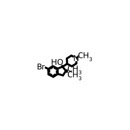 CN1CCC(C2(O)c3cc(Br)ccc3CC2(C)C)CC1